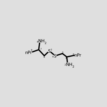 CCCC(N)CSSCC(N)CCC